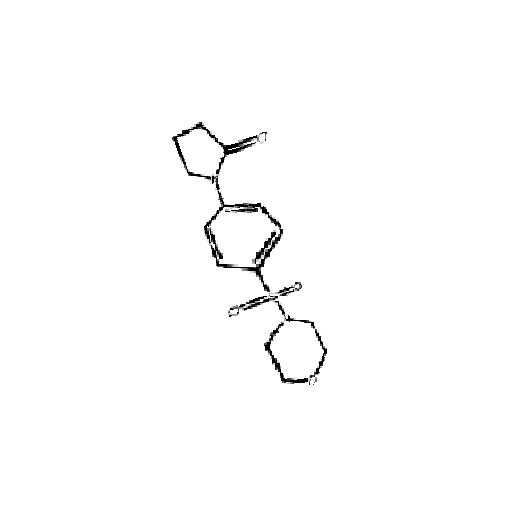 O=C1CCCN1c1ccc(S(=O)(=O)N2CCOCC2)cc1